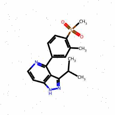 Cc1cc(-c2nccc3[nH]nc(C(C)C)c23)ccc1S(C)(=O)=O